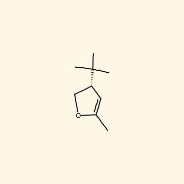 CC1=C[C@@H](C(C)(C)C)CO1